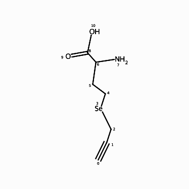 C#CC[Se]CCC(N)C(=O)O